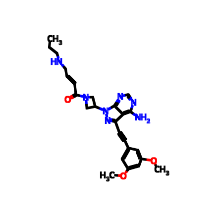 CCCNCC=CC(=O)N1CC(n2nc(C#Cc3cc(OC)cc(OC)c3)c3c(N)ncnc32)C1